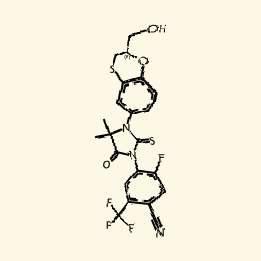 CC1(C)C(=O)N(c2cc(C(F)(F)F)c(C#N)cc2F)C(=S)N1c1ccc2c(c1)SC[C@@H](CO)O2